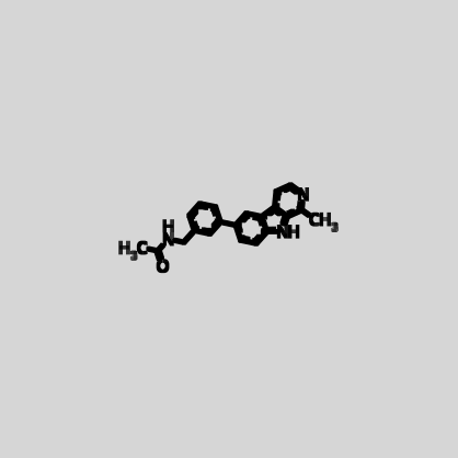 CC(=O)NCc1cccc(-c2ccc3[nH]c4c(C)nccc4c3c2)c1